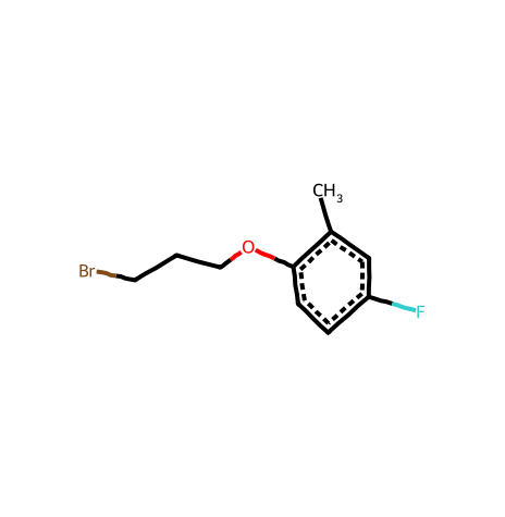 Cc1cc(F)ccc1OCCCBr